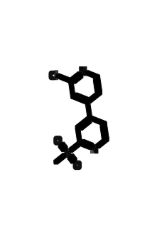 CS(=O)(=O)c1cc(-c2ccnc(Cl)c2)ccn1